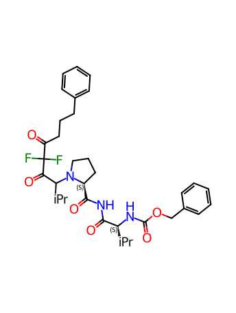 CC(C)C(C(=O)C(F)(F)C(=O)CCCc1ccccc1)N1CCC[C@H]1C(=O)NC(=O)[C@@H](NC(=O)OCc1ccccc1)C(C)C